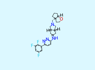 Fc1cc(F)c(F)c(-c2ccc(N[C@H]3C[C@@H]4CN(C[C@]56CCC[C@H]5OCC6)C[C@@H]4C3)nn2)c1